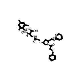 Cc1cc(C)c(S(=O)(=O)NC(CNC(=O)COC2CC(CNc3ccccn3)N(C(=O)COc3ccccc3)C2)C(=O)O)c(C)c1